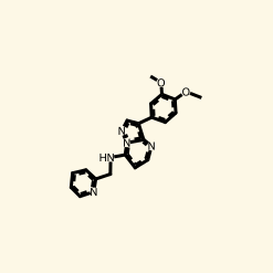 COc1ccc(-c2cnn3c(NCc4ccccn4)ccnc23)cc1OC